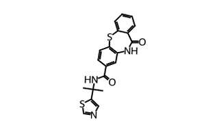 CC(C)(NC(=O)c1ccc2c(c1)NC(=O)c1ccccc1S2)c1cncs1